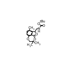 Cc1ccc2c3c1C(CNC(=O)OC(C)(C)C)OB3OC(C)(C)CO2